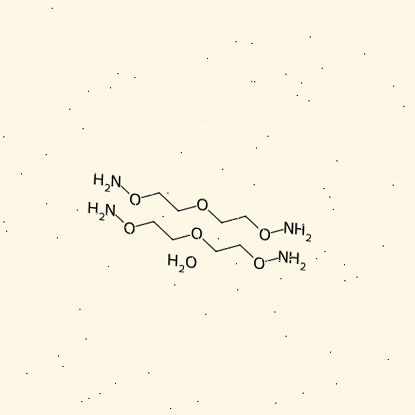 NOCCOCCON.NOCCOCCON.O